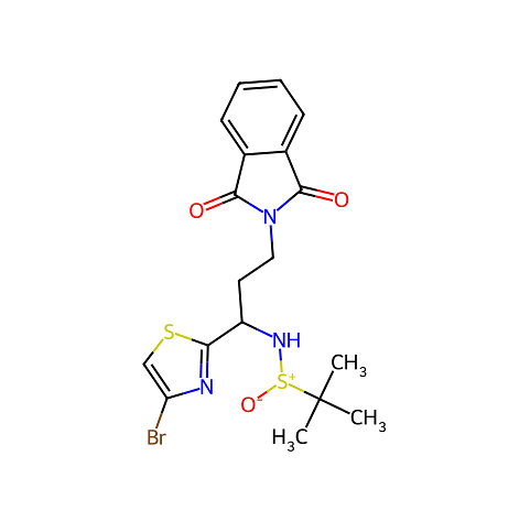 CC(C)(C)[S+]([O-])NC(CCN1C(=O)c2ccccc2C1=O)c1nc(Br)cs1